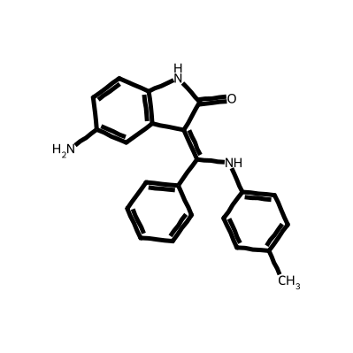 Cc1ccc(N/C(=C2\C(=O)Nc3ccc(N)cc32)c2ccccc2)cc1